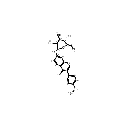 COc1ccc(-c2coc3cc(O[C@@H]4OC(CO)[C@@H](O)C(O)C4O)ccc3c2=O)cc1